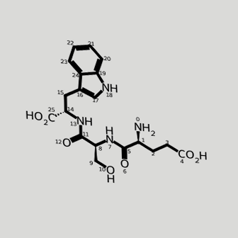 N[C@@H](CCC(=O)O)C(=O)N[C@@H](CO)C(=O)N[C@@H](Cc1c[nH]c2ccccc12)C(=O)O